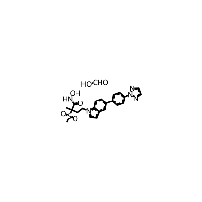 CC(CCn1ccc2cc(-c3ccc(-n4nccn4)cc3)ccc21)(C(=O)NO)S(C)(=O)=O.O=CO